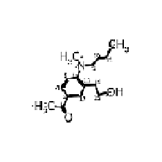 [CH2]C(=O)c1ccc(N(C)CCCC)c(CCO)c1